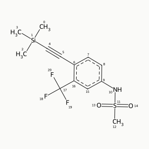 C[Si](C)(C)C#Cc1ccc(NS(C)(=O)=O)cc1C(F)(F)F